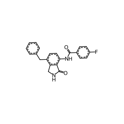 O=C(Nc1ccc(Cc2ccccc2)c2c1C(=O)NC2)c1ccc(F)cc1